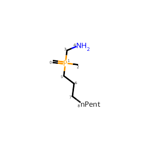 C=P(C)(CN)CCCCCCCC